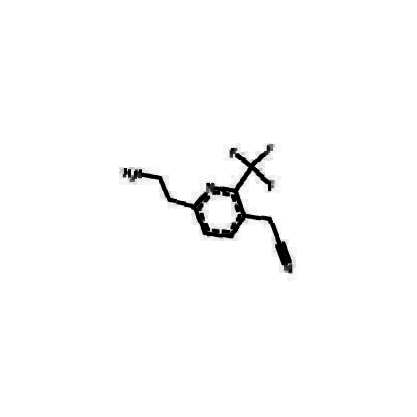 N#CCc1ccc(CCN)nc1C(F)(F)F